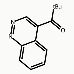 CC(C)(C)C(=O)c1cnnc2ccccc12